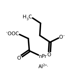 CCCC(=O)CC(=O)[O-].CCCC(=O)[O-].[Al+2]